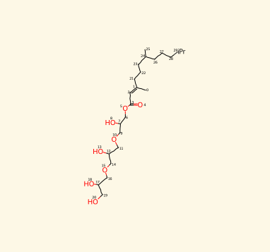 C/C(=C\C(=O)OCC(O)COCC(O)COCC(O)CO)CCCC(C)CCCC(C)C